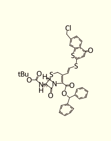 CC(C)(C)OC(=O)N[C@@H]1C(=O)N2C(C(=O)OC(c3ccccc3)c3ccccc3)=C(C=CSc3cc(=O)c4ccc(CCl)cc4s3)CS[C@@H]12